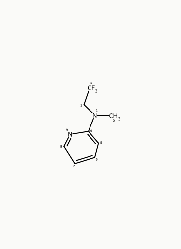 CN(CC(F)(F)F)c1ccccn1